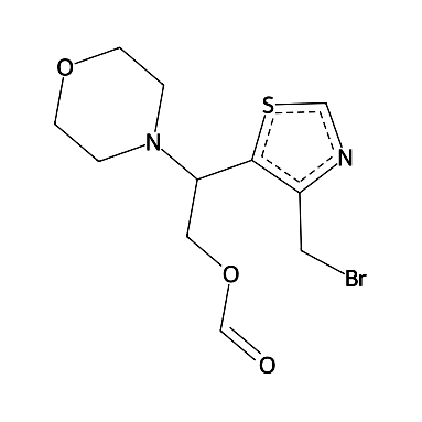 O=COCC(c1scnc1CBr)N1CCOCC1